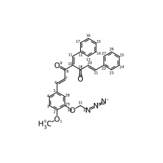 COc1ccc(/C=C/C(=O)/C(=C/c2ccccc2)C(=O)/C=C/c2ccccc2)cc1OCN=[N+]=[N-]